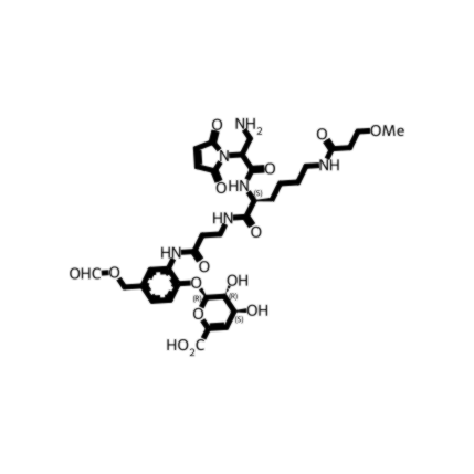 COCCC(=O)NCCCC[C@H](NC(=O)C(CN)N1C(=O)C=CC1=O)C(=O)NCCC(=O)Nc1cc(COC=O)ccc1O[C@@H]1OC(C(=O)O)=C[C@H](O)[C@H]1O